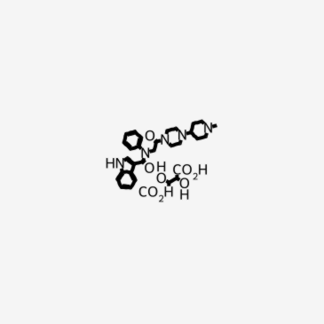 CN1CCC(N2CCN(C(=O)CN(C(=O)c3c[nH]c4ccccc34)c3ccccc3)CC2)CC1.O=C(O)C(O)C(O)C(=O)O